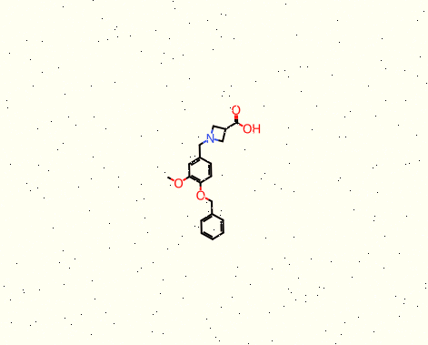 COc1cc(CN2CC(C(=O)O)C2)ccc1OCc1ccccc1